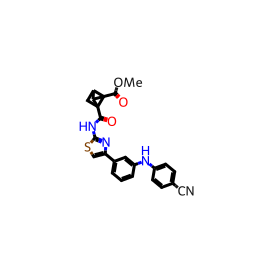 COC(=O)C1C2CC1(C(=O)Nc1nc(-c3cccc(Nc4ccc(C#N)cc4)c3)cs1)C2